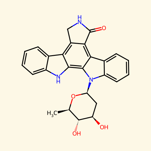 C[C@H]1O[C@@H](n2c3ccccc3c3c4c(c5c6ccccc6[nH]c5c32)CNC4=O)C[C@@H](O)[C@@H]1O